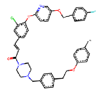 CC(C)c1ccc(OCCc2ccc(CN3CCN(C(=O)C=Cc4ccc(Oc5ccc(OCc6ccc(F)cc6)cn5)c(Cl)c4)CC3)cc2)cc1